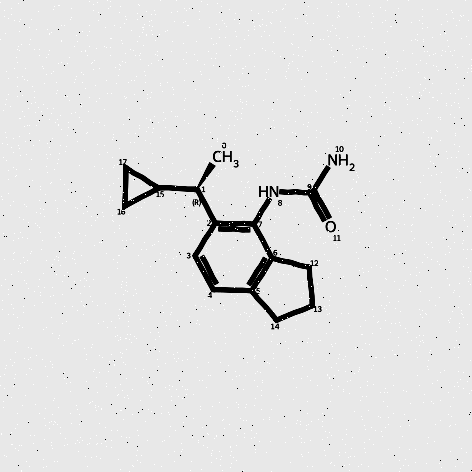 C[C@@H](c1ccc2c(c1NC(N)=O)CCC2)C1CC1